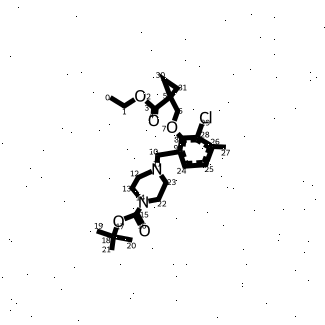 CCOC(=O)C1(COc2c(CN3CCN(C(=O)OC(C)(C)C)CC3)ccc(C)c2Cl)CC1